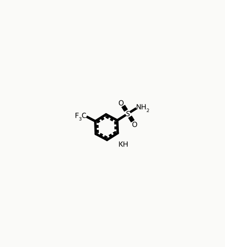 NS(=O)(=O)c1cccc(C(F)(F)F)c1.[KH]